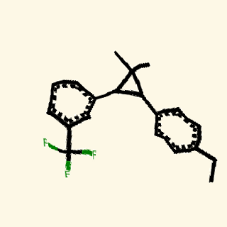 CCc1ccc(C2C(c3cccc(C(F)(F)F)c3)C2(C)C)cc1